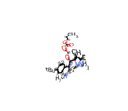 C=CCOC(=O)OCO/C(=C(/C=N\C)c1ccc(C(C)(C)C)cc1)c1c(C)c(C)nn1CC